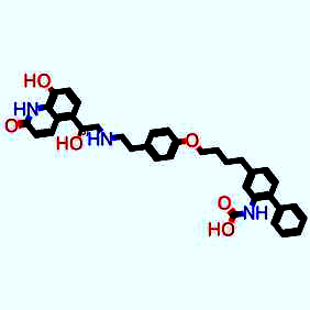 O=C(O)Nc1cc(CCCCOc2ccc(CCNC[C@@H](O)c3ccc(O)c4[nH]c(=O)ccc34)cc2)ccc1-c1ccccc1